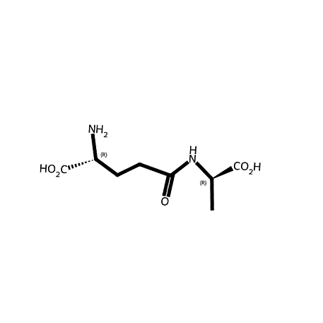 C[C@@H](NC(=O)CC[C@@H](N)C(=O)O)C(=O)O